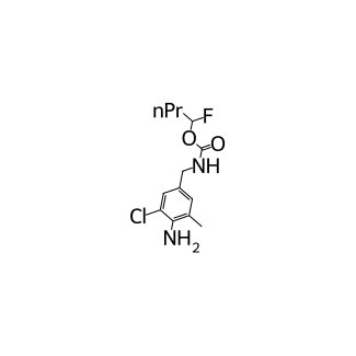 CCCC(F)OC(=O)NCc1cc(C)c(N)c(Cl)c1